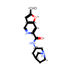 O=Cc1cc2cnc(C(=O)N[C@@H]3CC4CCN(C4)C3)cc2o1